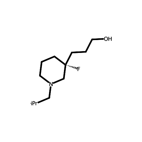 C[C](C)CN1CCC[C@@](F)(CCCO)C1